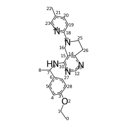 CCOc1ccc(C(C)Nc2ncnc3c2CN(c2ccc(C)cn2)CC3)cc1